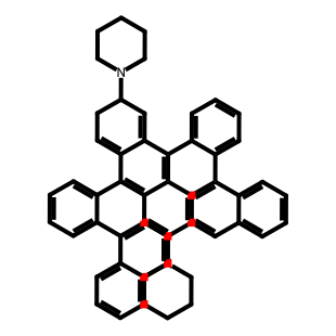 C1=c2c(-c3ccccc3-c3cccc4ccccc34)c3ccc(N4CCCCC4)cc3c(-c3ccccc3-c3cccc4ccccc34)c2=CCC1N1CCCCC1